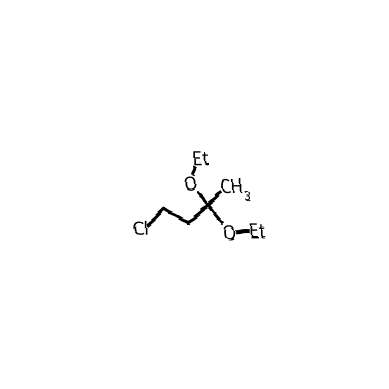 CCOC(C)(CCCl)OCC